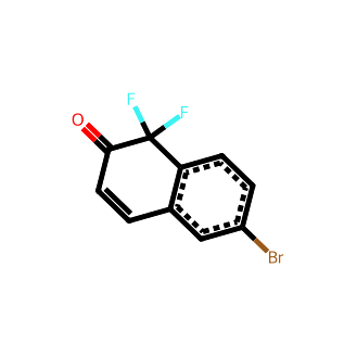 O=C1C=Cc2cc(Br)ccc2C1(F)F